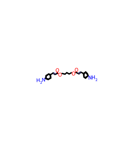 Nc1ccc(/C=C/C(=O)OCCCCCOC(=O)/C=C/c2ccc(N)cc2)cc1